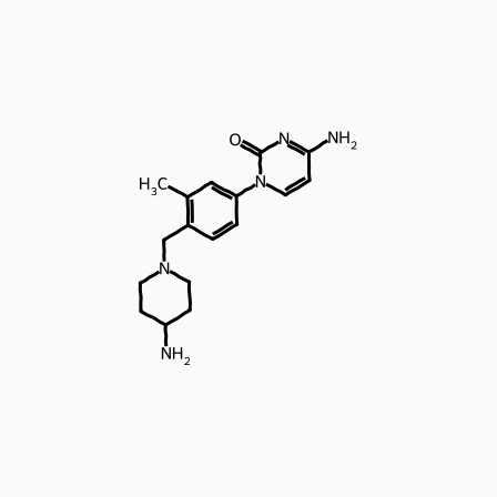 Cc1cc(-n2ccc(N)nc2=O)ccc1CN1CCC(N)CC1